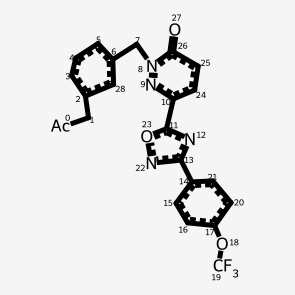 CC(=O)Cc1cccc(Cn2nc(-c3nc(-c4ccc(OC(F)(F)F)cc4)no3)ccc2=O)c1